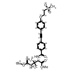 COC(=O)[C@@H](NC(=O)c1ccc(C#Cc2ccc(OCCS(C)(=O)=O)cc2)cc1)C(C)(C)NC(=O)OC(C)(C)C